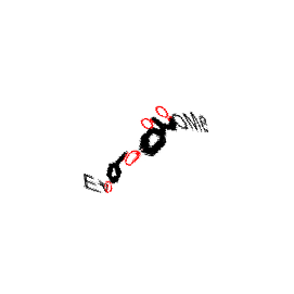 CCOc1ccc(COc2ccc3c(CC(=O)OC)coc3c2)cc1